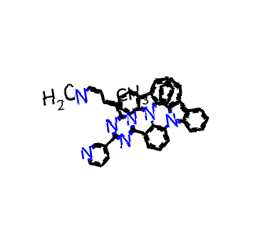 C=N/C=C\C=C(/C)c1nc(-c2cccnc2)nc(-c2cccc(-n3c4ccccc4c4ccccc43)c2-n2c3ccccc3c3ccccc32)n1